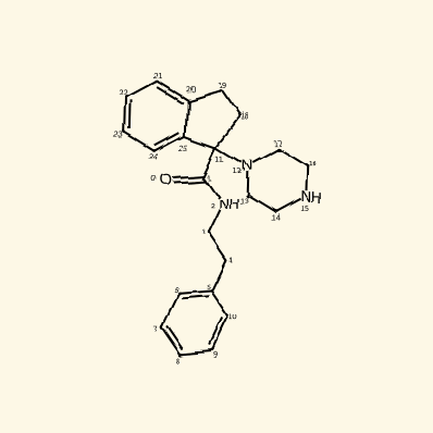 O=C(NCCc1ccccc1)C1(N2CCNCC2)CCc2ccccc21